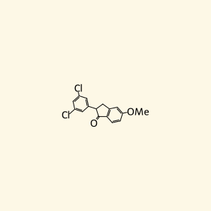 COc1ccc2c(c1)CC(c1cc(Cl)cc(Cl)c1)C2=O